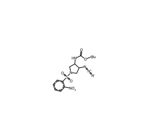 CC(C)(C)OC(=O)NC1CN(S(=O)(=O)c2ccccc2[N+](=O)[O-])CC1N=[N+]=[N-]